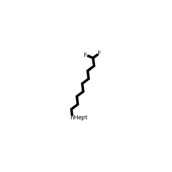 CCCCCCCCCCCCCCCC(F)F